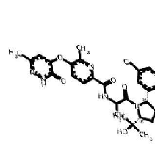 Cc1cc(Oc2ccc(C(=O)NC(C)C(=O)N3[C@H](c4cccc(Cl)c4)CC[C@@H]3C(C)(C)O)nc2C)c(=O)[nH]n1